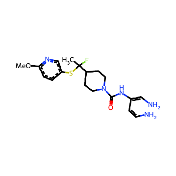 COc1ccc(SC(C)(F)C2CCN(C(=O)NC(/C=C\N)=C/N)CC2)cn1